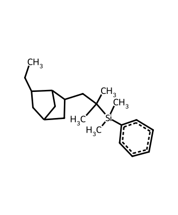 CCC1CC2CC(CC(C)(C)[Si](C)(C)c3ccccc3)C1C2